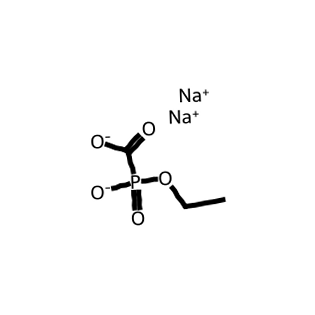 CCOP(=O)([O-])C(=O)[O-].[Na+].[Na+]